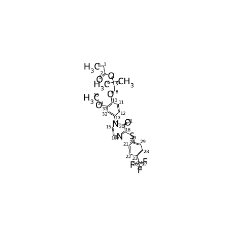 CCC(=O)OC(C)(C)COc1ccc(-n2ccnc(Sc3ccc(C(F)(F)F)cc3)c2=O)cc1OC